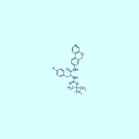 CC(C)(C)OC(=O)NC(Cc1ccc(F)cc1)C(=O)Nc1ccc2c(c1)COc1cnccc1-2